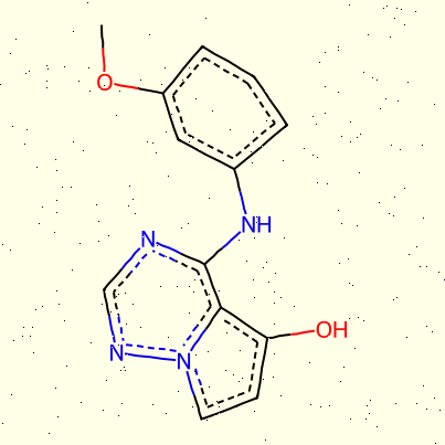 COc1cccc(Nc2ncnn3ccc(O)c23)c1